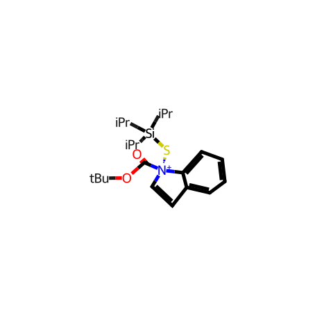 CC(C)[Si](S[N@@+]1(C(=O)OC(C)(C)C)C=Cc2ccccc21)(C(C)C)C(C)C